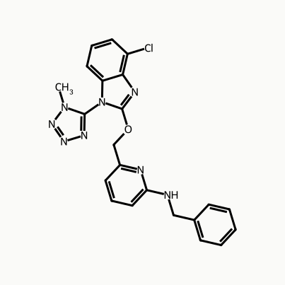 Cn1nnnc1-n1c(OCc2cccc(NCc3ccccc3)n2)nc2c(Cl)cccc21